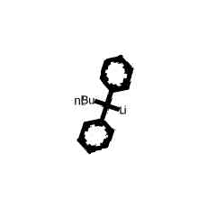 [Li][C](CCCC)(c1ccccc1)c1ccccc1